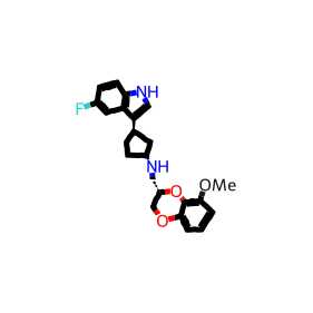 COc1cccc2c1O[C@@H](CN[C@@H]1CC[C@@H](c3c[nH]c4ccc(F)cc34)C1)CO2